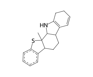 CC12Sc3ccccc3C1CCC1C3=C(CCC=C3)NC12